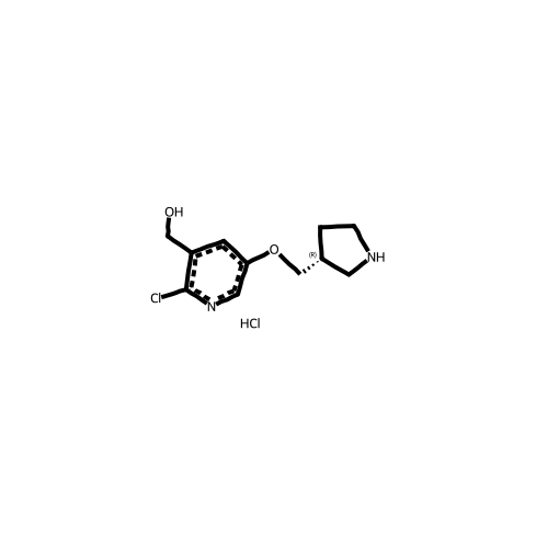 Cl.OCc1cc(OC[C@@H]2CCNC2)cnc1Cl